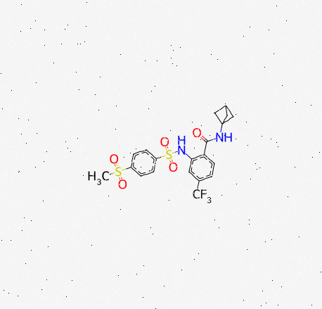 CS(=O)(=O)c1ccc(S(=O)(=O)Nc2cc(C(F)(F)F)ccc2C(=O)NC23CC(C2)C3)cc1